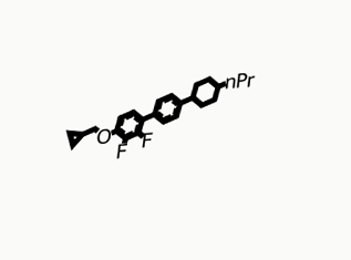 CCCC1CCC(c2ccc(-c3ccc(OCC4CC4)c(F)c3F)cc2)CC1